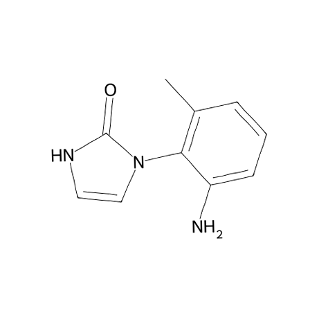 Cc1cccc(N)c1-n1cc[nH]c1=O